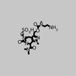 CN(C)C(=O)C1c2c(c(COC(=O)N(C)CCN)nn2C)C2CN1C(=O)N2OS(=O)(=O)O